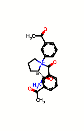 CC(=O)c1cccc(C(=O)[N+]2(c3cccc(C(C)=O)c3)CCC[C@H]2C(N)=O)c1